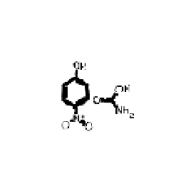 NC(=O)O.O=[N+]([O-])c1ccc(O)cc1